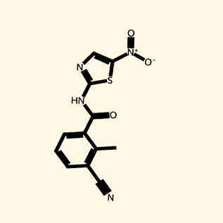 Cc1c(C#N)cccc1C(=O)Nc1ncc([N+](=O)[O-])s1